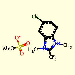 COS(=O)(=O)[O-].Cn1c(C(F)(F)F)[n+](C)c2ccc(Cl)cc21